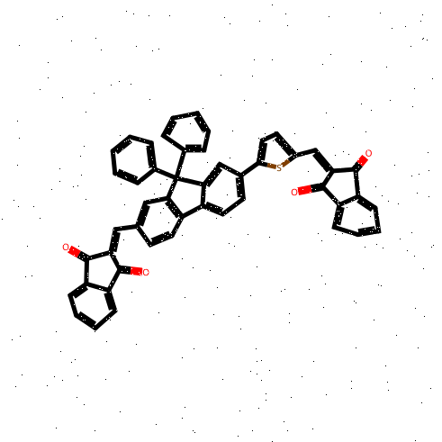 O=C1C(=Cc2ccc3c(c2)C(c2ccccc2)(c2ccccc2)c2cc(-c4ccc(C=C5C(=O)c6ccccc6C5=O)s4)ccc2-3)C(=O)c2ccccc21